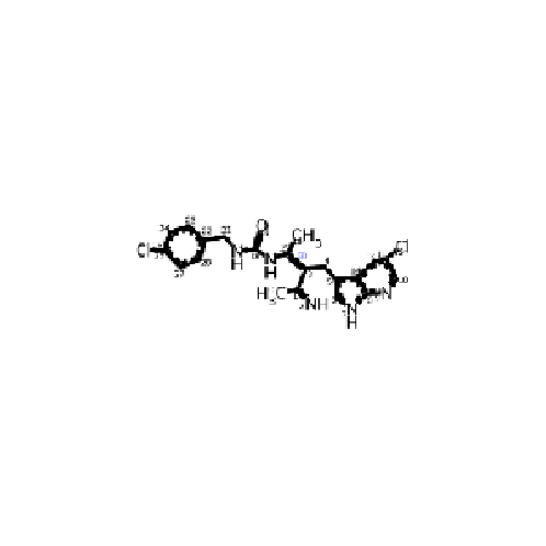 CC(=N)/C(Cc1c[nH]c2ncc(Cl)cc12)=C(/C)NC(=O)NCc1ccc(Cl)cc1